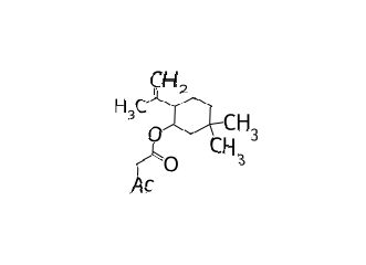 C=C(C)C1CCC(C)(C)CC1OC(=O)CC(C)=O